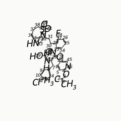 CC(C)Oc1cc([C@H](c2ccc(Cl)cc2)[C@H](NC(=O)O)C(=O)Nc2cccc(F)c2CCC2CNC3CCCS(=O)(=O)N2C3)ccn1